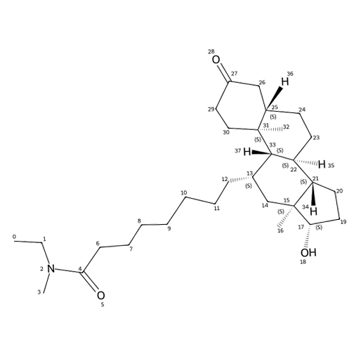 CCN(C)C(=O)CCCCCCC[C@H]1C[C@]2(C)[C@@H](O)CC[C@H]2[C@@H]2CC[C@H]3CC(=O)CC[C@]3(C)[C@@H]12